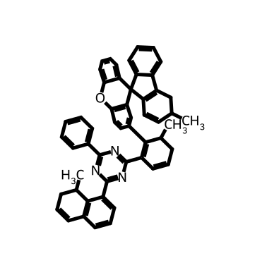 CC1C=CC2=C(C1)c1ccccc1C21c2ccccc2Oc2ccc(C3=C(c4nc(-c5ccccc5)nc(-c5cccc6c5C(C)CC=C6)n4)C=CCC3C)cc21